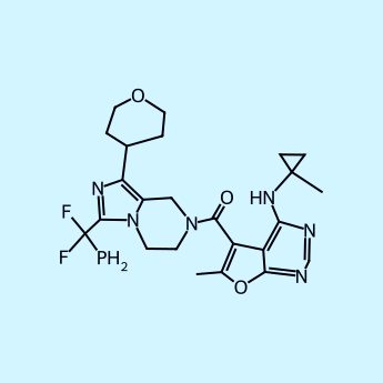 Cc1oc2ncnc(NC3(C)CC3)c2c1C(=O)N1CCn2c(C(F)(F)P)nc(C3CCOCC3)c2C1